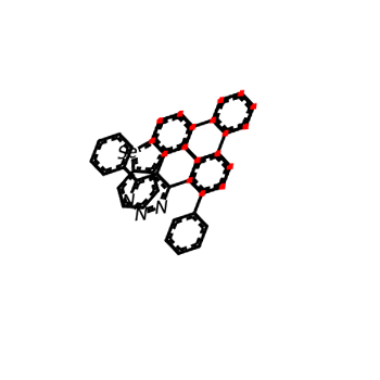 c1ccc(-c2ccccc2-c2c(-c3ccccc3)nnnc2-c2c(-c3ccccc3)ccc(-c3ccccc3)c2-c2c(-c3ccccc3)ccc3[se]c4ccccc4c23)cc1